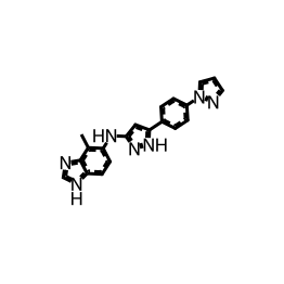 Cc1c(Nc2cc(-c3ccc(-n4cccn4)cc3)[nH]n2)ccc2[nH]cnc12